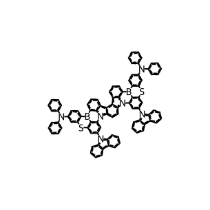 c1ccc(N(c2ccccc2)c2ccc3c(c2)Sc2cc(-n4c5ccccc5c5ccccc54)cc4c2B3c2cccc3c5c6c7cccc8c7n(c6ccc5n-4c23)-c2cc(-n3c4ccccc4c4ccccc43)cc3c2B8c2ccc(N(c4ccccc4)c4ccccc4)cc2S3)cc1